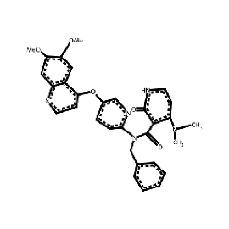 COc1cc2nccc(Oc3ccc(N(Cc4ccccc4)C(=O)c4c(N(C)C)cc[nH]c4=O)nc3)c2cc1OC